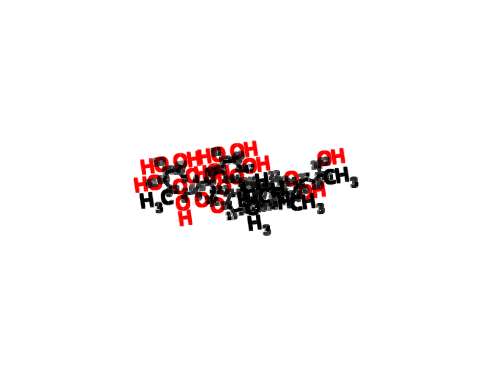 CC1O[C@@H](O[C@@H]2C(CO)O[C@@H](OC3CC[C@@]4(C)C(=CC[C@H]5[C@@H]6CC7OC(O)(CC[C@@H](C)CO)[C@@H](C)[C@@H]7[C@@]6(C)CC[C@@H]54)C3)C(O[C@@H]3OC(O)[C@H](O)[C@H](O)C3O)[C@H]2O)C(O)[C@@H](O)[C@H]1O